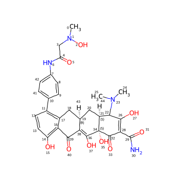 CN(O)CC(=O)Nc1ccc(-c2ccc(O)c3c2C[C@H]2C[C@H]4C(N(C)C)C(O)=C(C(N)=O)C(=O)[C@@]4(O)C(O)=C2C3=O)cc1